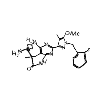 COc1c(C)c(-c2nc(N)c3c(n2)NC(=O)C3(C)C(N)=O)nn1Cc1ccccc1F